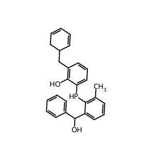 Cc1cccc(C(O)c2ccccc2)c1Pc1cccc(CC2C=CC=CC2)c1O